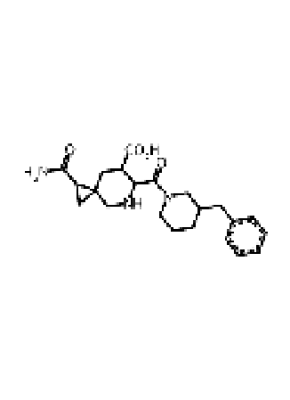 NC(=O)C1CC12CNC(C(=O)N1CCCC(Cc3ccccc3)C1)C(C(=O)O)C2